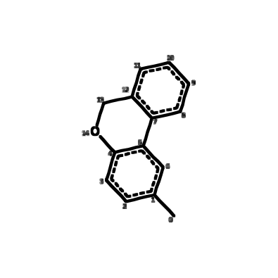 Cc1ccc2c(c1)-c1ccccc1CO2